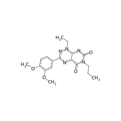 CCCn1c(=O)nc2n(CC)nc(-c3ccc(OC)c(OC)c3)nc-2c1=O